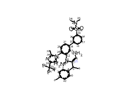 Cc1ccc(C(C)/C(=C/N)N(N)c2cc(-c3cccc(S(=O)(=O)N(C)C)c3)ccc2-n2cc(C(F)(F)F)nc2C)cc1